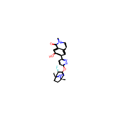 Cn1ccc2cc(-c3ccc(O[C@H]4C[C@]5(C)CC[C@@](C)(N5)[C@H]4F)nn3)c(O)cc2c1=O